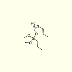 CC=CN.CCC[Si](OC)(OC)OC.Cl